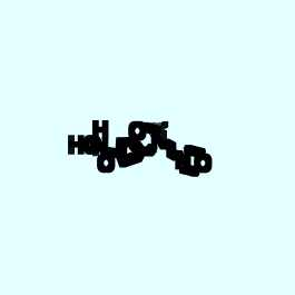 C[C@H]1COc2cc(C(=O)NO)ccc2CN1CCN1CCOCC1